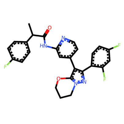 CC(C(=O)Nc1cc(-c2c(-c3ccc(F)cc3F)nn3c2OCCC3)ccn1)c1ccc(F)cc1